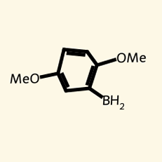 Bc1cc(OC)ccc1OC